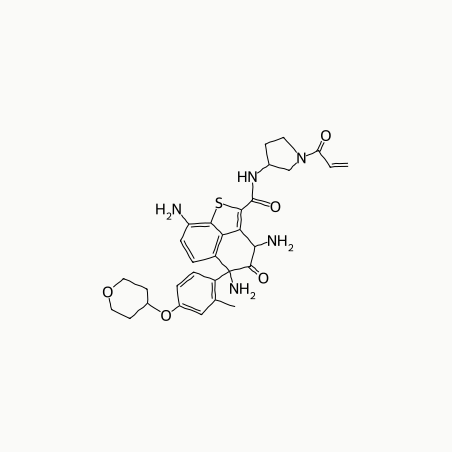 C=CC(=O)N1CCC(NC(=O)c2sc3c(N)ccc4c3c2C(N)C(=O)C4(N)c2ccc(OC3CCOCC3)cc2C)C1